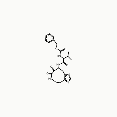 CC(C)C(NC(=O)OCc1ccccc1)C(=O)NC1Cc2scnc2CCNC(=O)C1=O